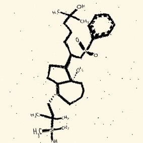 CC(C)(O)CCCC(CS(=O)(=O)c1ccccc1)C1CCC2[C@@H](CC(C)(C)[Si](C)(C)O)CCC[C@]12C